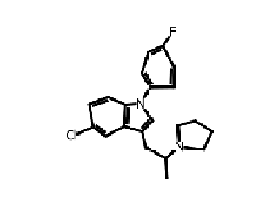 CC(Cc1cn(-c2ccc(F)cc2)c2ccc(Cl)cc12)N1CCCC1